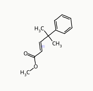 COC(=O)/C=C/C(C)(C)c1ccccc1